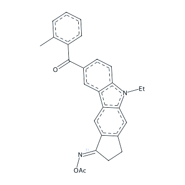 CCn1c2ccc(C(=O)c3ccccc3C)cc2c2cc3c(cc21)CC/C3=N\OC(C)=O